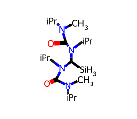 CC(C)N(C)C(=O)N(C(C)C)C([SiH3])N(C(=O)N(C)C(C)C)C(C)C